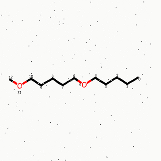 CCCCCOCCCCCOC